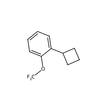 FC(F)(F)Oc1ccccc1C1[CH]CC1